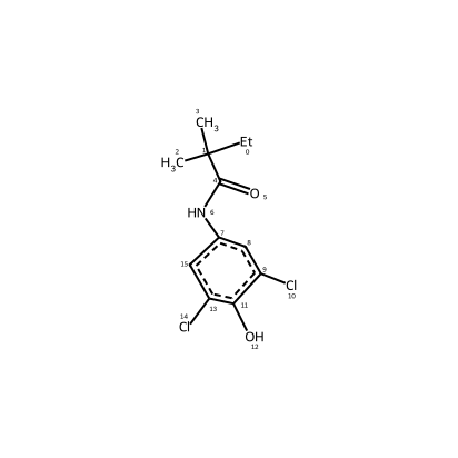 CCC(C)(C)C(=O)Nc1cc(Cl)c(O)c(Cl)c1